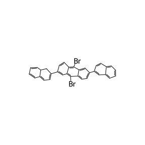 Brc1c2ccc(-c3ccc4ccccc4c3)cc2c(Br)c2ccc(C3=CC=C4C=CC=CC4C3)cc12